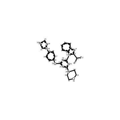 FC(F)c1nc2ccccc2n1-c1nc(Oc2ccc(-n3cncn3)cc2)nc(N2CCOCC2)n1